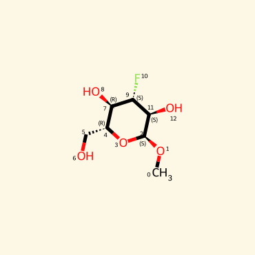 CO[C@H]1O[C@H](CO)[C@@H](O)[C@H](F)[C@H]1O